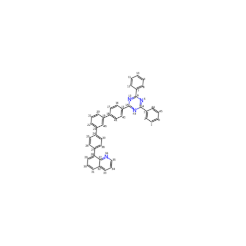 c1ccc(-c2nc(-c3ccccc3)nc(-c3ccc(-c4cccc(-c5ccc(-c6cccc7cccnc67)cc5)c4)cc3)n2)cc1